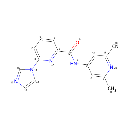 Cc1cc(NC(=O)c2cccc(-n3ccnc3)n2)cc(C#N)n1